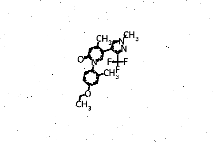 CCOc1ccc(-n2cc(-c3cn(C)nc3C(F)(F)F)c(C)cc2=O)c(C)c1